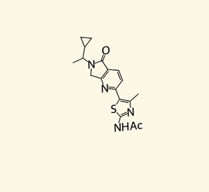 CC(=O)Nc1nc(C)c(-c2ccc3c(n2)CN(C(C)C2CC2)C3=O)s1